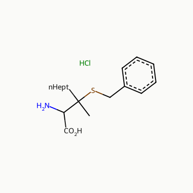 CCCCCCCC(C)(SCc1ccccc1)C(N)C(=O)O.Cl